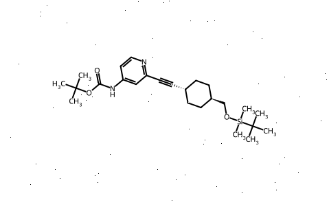 CC(C)(C)OC(=O)Nc1ccnc(C#C[C@H]2CC[C@H](CO[Si](C)(C)C(C)(C)C)CC2)c1